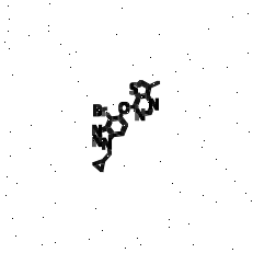 Cc1csc2c(Oc3ccc4c(nnn4CC4CC4)c3Br)ncnc12